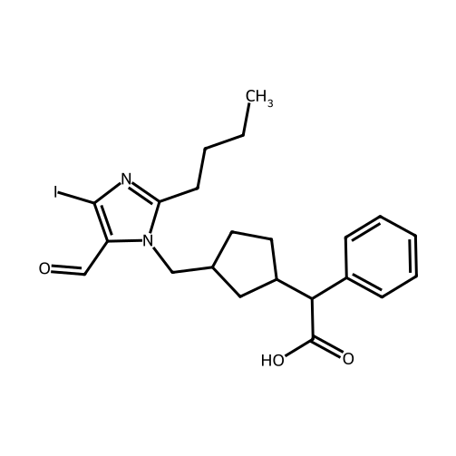 CCCCc1nc(I)c(C=O)n1CC1CCC(C(C(=O)O)c2ccccc2)C1